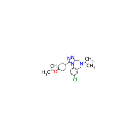 CC(C)OC1CCC(c2nnc3n2-c2ccc(Cl)cc2CN(C(C)C)C3)CC1